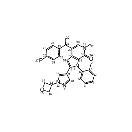 Cc1ccccc1-n1c(-c2cnn(C3COC3)c2)cc2c(C(C)c3ccc(F)cc3)cn(C)c(=O)c21